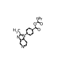 CCCC(=O)OC(=O)c1ccc(-n2c(C)nc3cnccc32)cc1